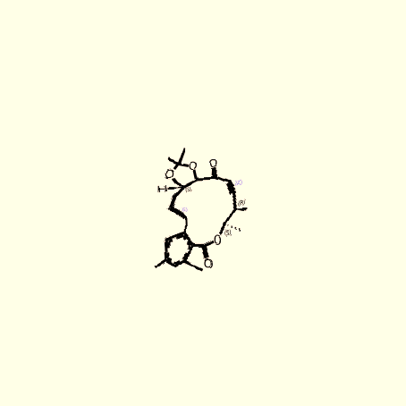 Cc1cc(C)c2c(c1)/C=C/C[C@@H]1OC(C)(C)OC1C(=O)/C=C\[C@@H](C)[C@H](C)OC2=O